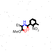 CCC(NC(=O)c1cccc(C)c1[N+](=O)[O-])C(=O)OC